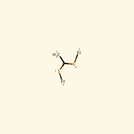 CCSC(C)SCC